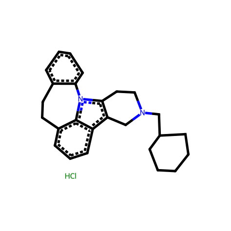 Cl.c1ccc2c(c1)CCc1cccc3c4c(n-2c13)CCN(CC1CCCCC1)C4